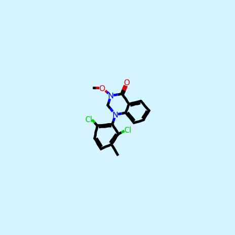 CON1CN(c2c(Cl)ccc(C)c2Cl)c2ccccc2C1=O